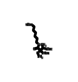 CCCCCCCCCCCCCCCCOC(=O)C(CCCCCC)(OP)C(C)CCCCCCCCCC